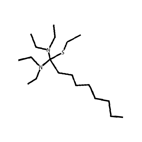 CCCCCCCCC(SCC)(N(CC)CC)N(CC)CC